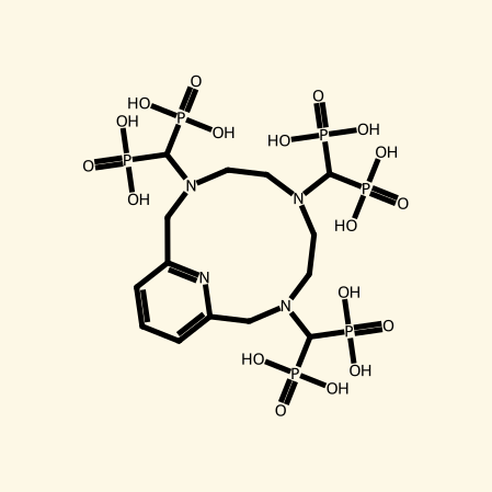 O=P(O)(O)C(N1CCN(C(P(=O)(O)O)P(=O)(O)O)Cc2cccc(n2)CN(C(P(=O)(O)O)P(=O)(O)O)CC1)P(=O)(O)O